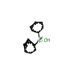 Cl.Cl.c1ccc([Te+]c2ccccc2)cc1